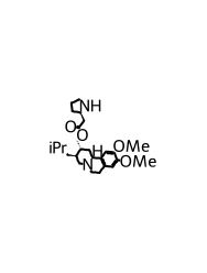 COc1cc2c(cc1OC)[C@H]1C[C@@H](COC(=O)C[C@H]3CCCN3)[C@H](CC(C)C)CN1CC2